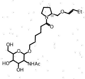 CCC=COC[C@@H]1CCCN1C(=O)CCCCCOC1OC(CO)C(O)C(O)C1NC(C)=O